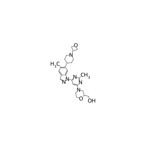 Cc1nc(N2CCOC(CO)C2)cc(-n2ncc3cc(C)c(C4CCN(C5COC5)CC4)cc32)n1